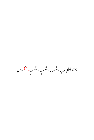 [CH2]COCCCCCCCCCCCCC